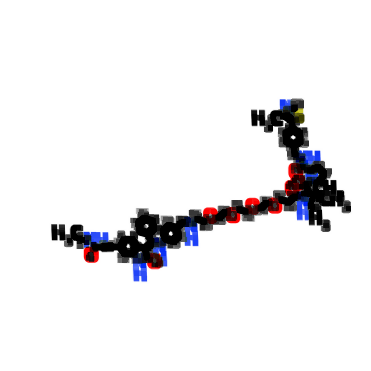 CCNC(=O)C#Cc1ccc2c(c1)NC(=O)/C2=C(\Nc1ccc(CNCCOCCOCCOCCOCCC(=O)N[C@H](C(=O)N2CCC[C@H]2C(=O)NCc2ccc(-c3scnc3C)cc2)C(C)(C)C)cc1)c1ccccc1